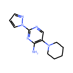 Nc1nc(-n2cccn2)ncc1N1CCCCC1